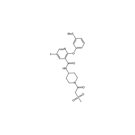 CSc1cccc(Oc2ncc(F)cc2C(=O)NC2CCN(C(=O)CS(C)(=O)=O)CC2)c1